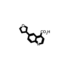 O=C(O)c1ccnc2ccc(C3CCOC3)cc12